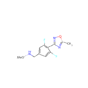 CONCc1cc(F)c(-c2noc(C(F)(F)F)n2)c(F)c1